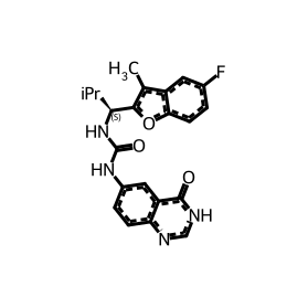 Cc1c([C@@H](NC(=O)Nc2ccc3nc[nH]c(=O)c3c2)C(C)C)oc2ccc(F)cc12